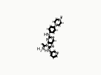 CC(N)n1c(Nc2cccnc2)nc2cnc(Nc3ccc(N4CCN(C)CC4)cc3)nc21